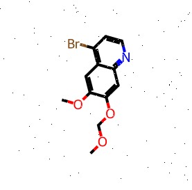 COCOc1cc2nccc(Br)c2cc1OC